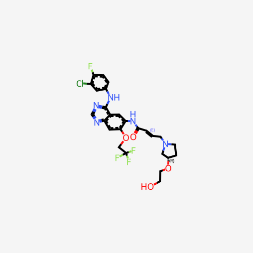 O=C(/C=C/CN1CC[C@@H](OCCO)C1)Nc1cc2c(Nc3ccc(F)c(Cl)c3)ncnc2cc1OCC(F)(F)F